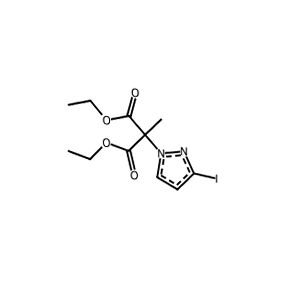 CCOC(=O)C(C)(C(=O)OCC)n1ccc(I)n1